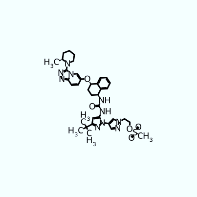 C[C@H]1CCCCN1c1nnc2ccc(O[C@@H]3CC[C@H](NC(=O)Nc4cc(C(C)(C)C)nn4-c4cnn(CCOS(C)(=O)=O)c4)c4ccccc43)cn12